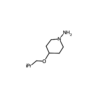 CC(C)COC1CCN(N)CC1